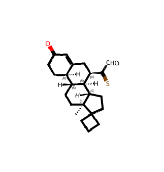 C[C@]12CC[C@H]3[C@@H]([C@H](C(=S)C=O)CC4=CC(=O)CC[C@@H]43)[C@@H]1CCC21CCC1